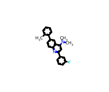 Cc1ccccc1-c1ccc2nc(-c3cccc(F)c3)cc(N(C)C)c2c1